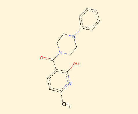 Cc1ccc(C(=O)N2CCN(c3ccccc3)CC2)c(O)n1